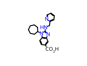 O=C(O)c1ccc2c(c1)nc(NCc1ccccn1)n2C1CCCCCC1